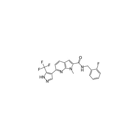 Cn1c(C(=O)NCc2ccccc2F)cc2ccc(-c3cn[nH]c3C(F)(F)F)nc21